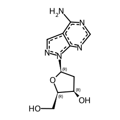 Nc1ncnc2c1cnn2[C@H]1C[C@@H](O)[C@@H](CO)O1